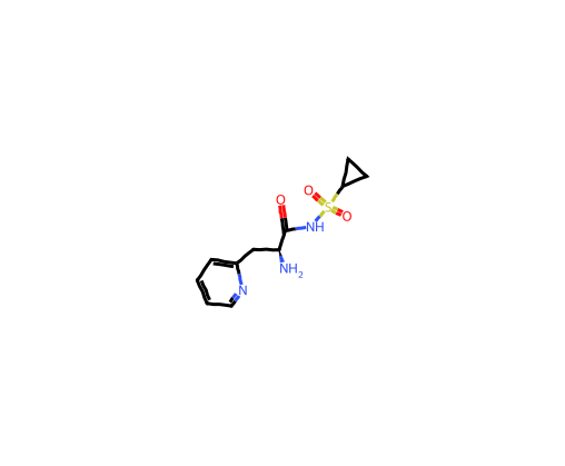 N[C@@H](Cc1ccccn1)C(=O)NS(=O)(=O)C1CC1